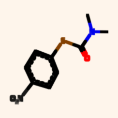 CN(C)C(=O)Sc1ccc([N+](=O)[O-])cc1